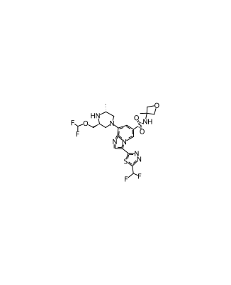 C[C@@H]1CN(c2cc(S(=O)(=O)NC3(C)COC3)cn3c(-c4nnc(C(F)F)s4)cnc23)C[C@@H](COC(F)F)N1